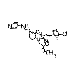 COC(=O)CN(C1CCN(CCNc2ccncc2)C1=O)S(=O)(=O)/C=C/c1ccc(Cl)s1